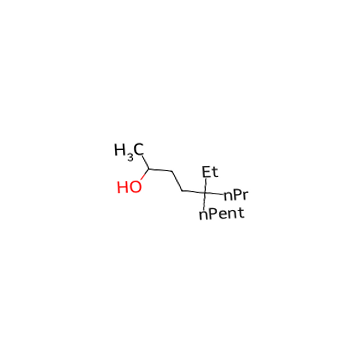 CCCCCC(CC)(CCC)CCC(C)O